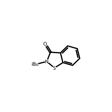 CCC(C)n1sc2ccccc2c1=O